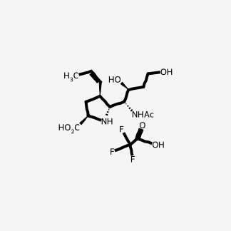 C/C=C\[C@@H]1C[C@H](C(=O)O)N[C@H]1[C@@H](NC(C)=O)[C@@H](O)CCO.O=C(O)C(F)(F)F